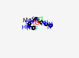 CS[C@@]1(C(=O)Nc2ccc3[nH]nc(-c4ccc(F)cc4)c3c2)CCN(C(Cl)C(=O)C2CCN(c3ccc(-c4ncccn4)cn3)CC2)C1